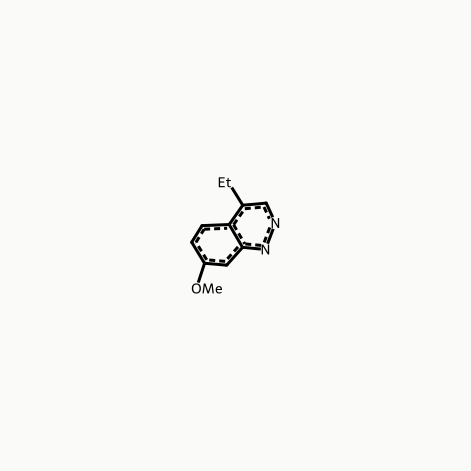 CCc1cnnc2cc(OC)ccc12